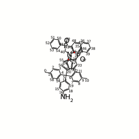 Cc1ccc(C(c2ccc(C)cc2)(c2ccc(N)cc2)c2ccc(N(CP(=O)(c3ccccc3)c3ccccc3)CP(=O)(c3ccccc3)c3ccccc3)cc2)cc1